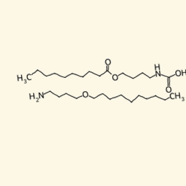 CCCCCCCCCC(=O)OCCCCNC(=O)O.CCCCCCCCCCOCCCCN